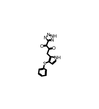 O=C(Cc1[nH]ccc1Sc1ccccc1)C(=O)c1nn[nH]n1